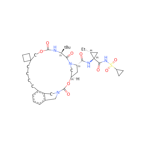 CC[C@@H]1C[C@]1(NC(=O)[C@@H]1C[C@@H]2CN1C(=O)[C@H](C(C)(C)C)NC(=O)OCC1(CCCCc3cccc4c3CN(C4)C(=O)O2)CCC1)C(=O)NS(=O)(=O)C1CC1